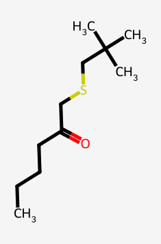 CCCCC(=O)CSCC(C)(C)C